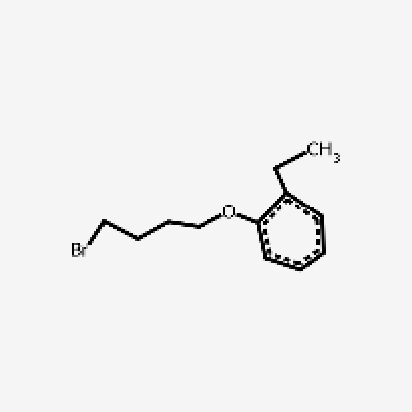 CCc1ccccc1OCCCCBr